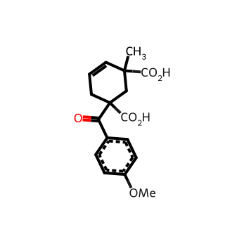 COc1ccc(C(=O)C2(C(=O)O)CC=CC(C)(C(=O)O)C2)cc1